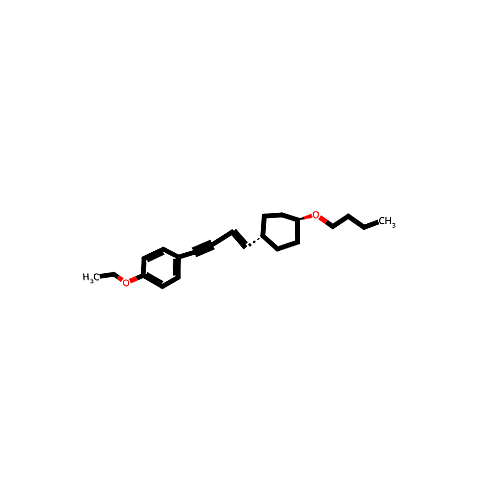 CCCCO[C@H]1CC[C@H](/C=C/C#Cc2ccc(OCC)cc2)CC1